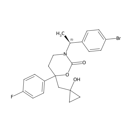 C[C@@H](c1ccc(Br)cc1)N1CCC(CC2(O)CC2)(c2ccc(F)cc2)OC1=O